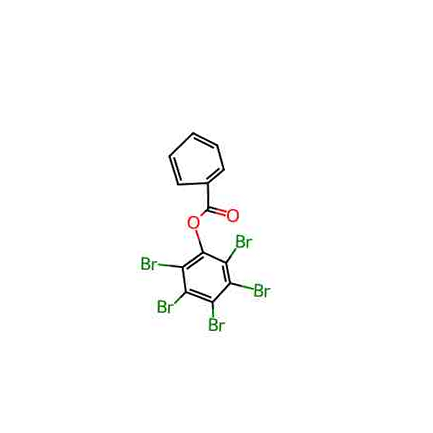 O=C(Oc1c(Br)c(Br)c(Br)c(Br)c1Br)c1ccccc1